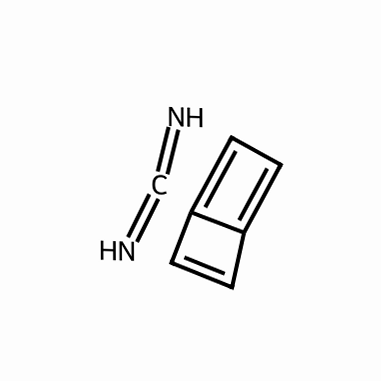 N=C=N.c1cc2ccc1-2